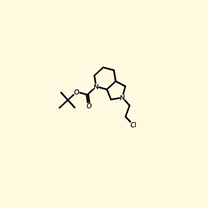 CC(C)(C)OC(=O)N1CCCC2CN(CCCl)CC21